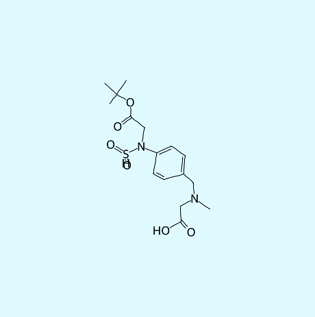 CN(CC(=O)O)Cc1ccc(N(CC(=O)OC(C)(C)C)[SH](=O)=O)cc1